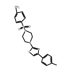 Cc1ccc(S(=O)(=O)N2CCN(c3nc(-c4ccc(F)cc4)cs3)CC2)cc1